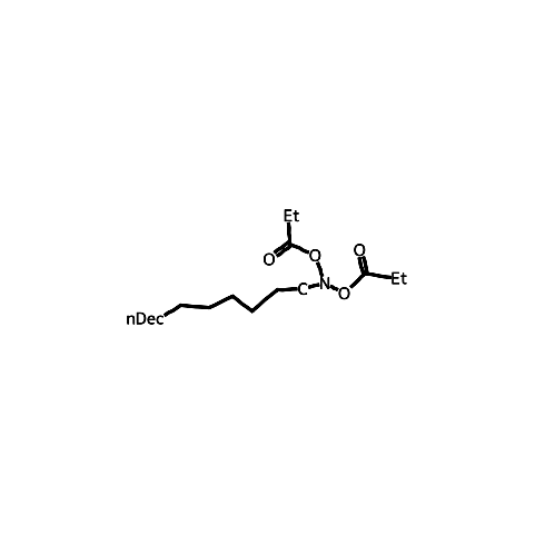 CCCCCCCCCCCCCCCCN(OC(=O)CC)OC(=O)CC